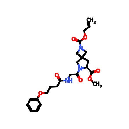 C=CCOC(=O)N1CC2(C[C@@H](C(=O)OC)N(C(=O)CNC(=O)CCCOc3ccccc3)C2)C1